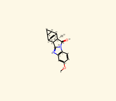 COc1ccc2c(c1)nc1n2C(=O)[C@@H]2C3C=CC(C4CC43)C12